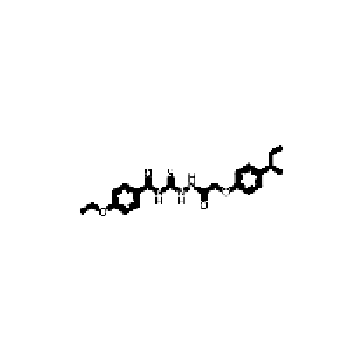 CCOc1ccc(C(=O)NC(=S)NNC(=O)COc2ccc(C(C)CC)cc2)cc1